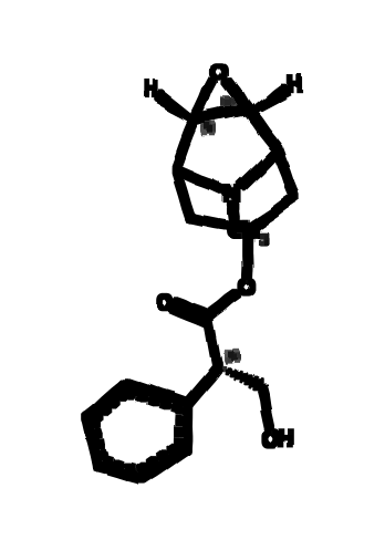 CN1C2CC(OC(=O)[C@H](CO)c3ccccc3)CC1[C@@H]1O[C@H]21